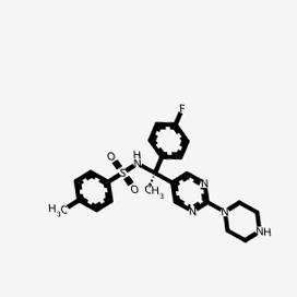 Cc1ccc(S(=O)(=O)N[C@@](C)(c2ccc(F)cc2)c2cnc(N3CCNCC3)nc2)cc1